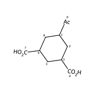 CC(=O)C1CC(C(=O)O)CC(C(=O)O)C1